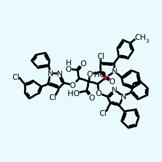 Cc1ccc(-c2c(Cl)c(OC(C(=O)O)(C(Oc3nn(-c4ccccc4)c(-c4ccccc4)c3Cl)C(=O)O)C(Oc3nn(-c4ccccc4)c(-c4cccc(Cl)c4)c3Cl)C(=O)O)nn2-c2ccccc2)cc1